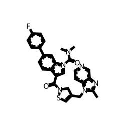 Cc1nc2cnccc2n1CC1=CSN(C(=O)c2cn(C(=O)N(C)C)c3cc(-c4ccc(F)cc4)ccc23)C1